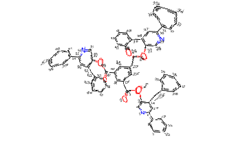 O=C(Oc1cnc(-c2ccccc2)cc1-c1ccccc1)c1cc(C(=O)Oc2cnc(-c3ccccc3)cc2-c2ccccc2)cc(C(=O)Oc2cnc(-c3ccccc3)cc2-c2ccccc2)c1